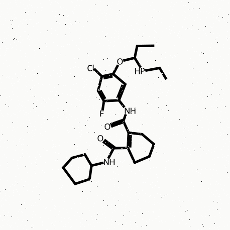 CCPC(CC)Oc1cc(NC(=O)C2=C(C(=O)NC3CCCCC3)CCCC2)c(F)cc1Cl